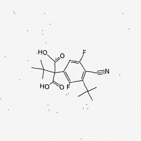 CC(C)(C)c1c(F)c(C(C(=O)O)(C(=O)O)C(C)(C)C)cc(F)c1C#N